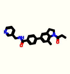 CCC(=O)N1CCc2cc(-c3ccc(C(=O)NCc4cccnc4)cc3)cc(C)c21